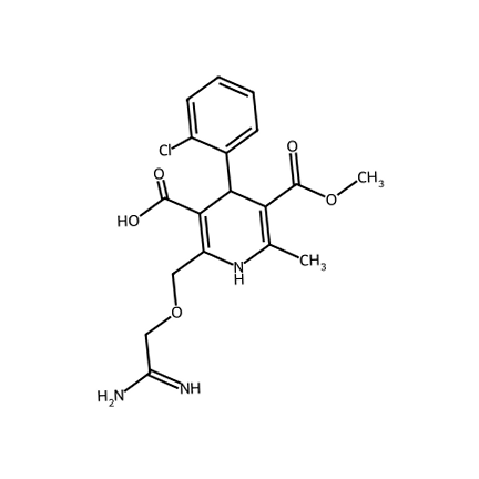 COC(=O)C1=C(C)NC(COCC(=N)N)=C(C(=O)O)C1c1ccccc1Cl